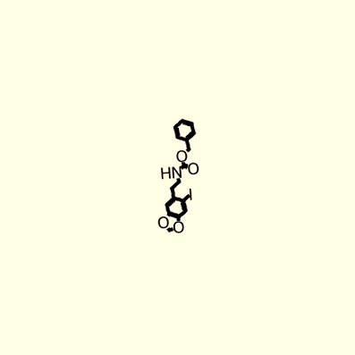 O=C(NCCc1cc2c(cc1I)OCO2)OCc1ccccc1